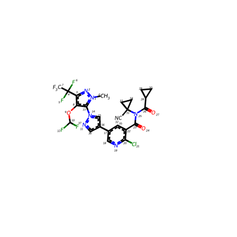 Cn1nc(C(F)(F)C(F)(F)F)c(OC(F)F)c1-n1cc(-c2cnc(Cl)c(C(=O)N(C(=O)C3CC3)C3(C#N)CC3)c2)cn1